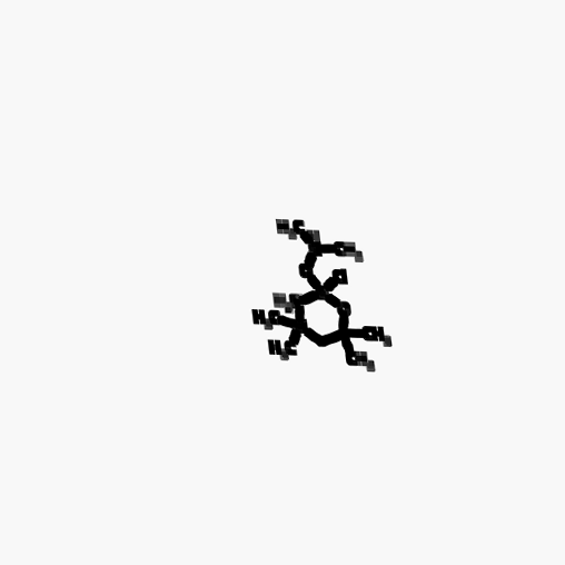 C[SiH](C)O[Si]1(Cl)OC(C)(C)C[Si](C)(C)[SiH2]1